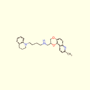 Cc1ccc2c3c(ccc2n1)OCC(CNCCCCN1CCCc2ccccc21)O3